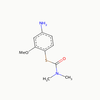 COc1cc(N)ccc1SC(=O)N(C)C